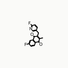 CC1=C(Cc2ccc(F)nc2)C(=O)c2cc(F)ccc2C1=O